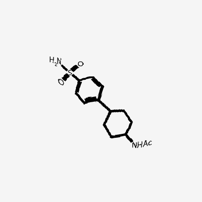 CC(=O)NC1CCC(c2ccc(S(N)(=O)=O)cc2)CC1